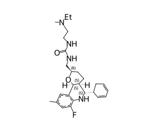 CCN(C)CCNC(=O)NC[C@H]1CC[C@@H]2[C@H](O1)c1cc(C)cc(F)c1N[C@H]2C1C=CC=CC1